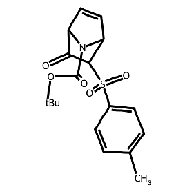 Cc1ccc(S(=O)(=O)C2C(=O)C3C=CC2N3C(=O)OC(C)(C)C)cc1